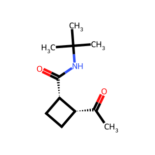 CC(=O)[C@@H]1CC[C@@H]1C(=O)NC(C)(C)C